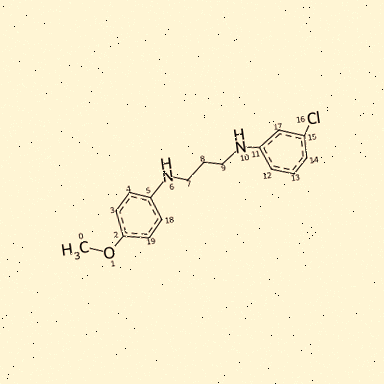 COc1ccc(NCCCNc2cccc(Cl)c2)cc1